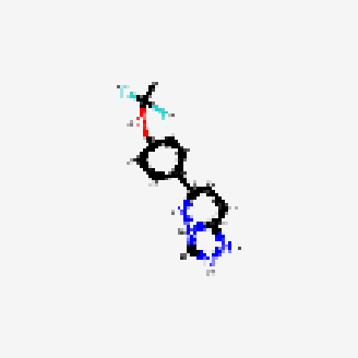 CC(F)(F)Oc1ccc(-c2ccc3nncn3n2)cc1